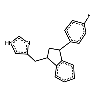 Fc1ccc(C2CC(Cc3c[nH]cn3)c3ccccc32)cc1